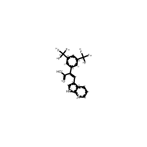 O=C(O)/C(=C\c1c[nH]c2ncccc12)c1cc(C(F)(F)F)cc(C(F)(F)F)c1